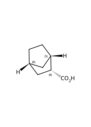 O=C(O)[C@@H]1C[C@@H]2CC[C@H]1C2